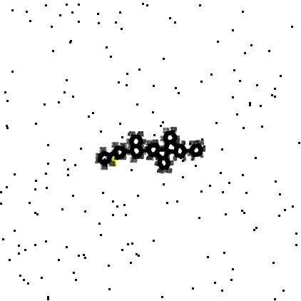 c1ccc(-c2ccc3c(c2)c2ccccc2c2c4ccc(-c5ccc(-c6ccc7c(c6)sc6ccccc67)c6ccccc56)cc4c4ccccc4c32)cc1